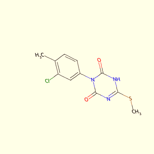 CSc1nc(=O)n(-c2ccc(C)c(Cl)c2)c(=O)[nH]1